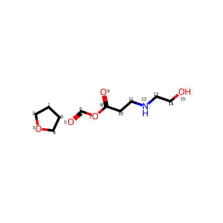 C1CCOC1.O=COC(=O)CCNCCO